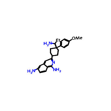 CCC(N)C1(c2ccc(OC)cc2)CCC(c2cc3cc(N)ccc3c(N)n2)CC1